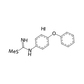 CSC(=N)Nc1ccc(Oc2ccccc2)cc1.I